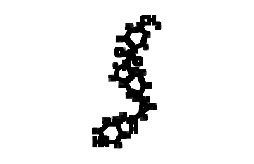 Cc1ccc(S(=O)(=O)N2CCc3cc(C4CC4NCC4CCNCC4)ccc32)cc1